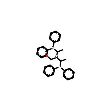 CC(=O)CN(C(C)P(c1ccccc1)c1ccccc1)C(C)P(c1ccccc1)c1ccccc1